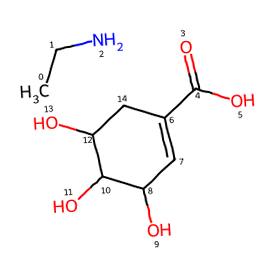 CCN.O=C(O)C1=CC(O)C(O)C(O)C1